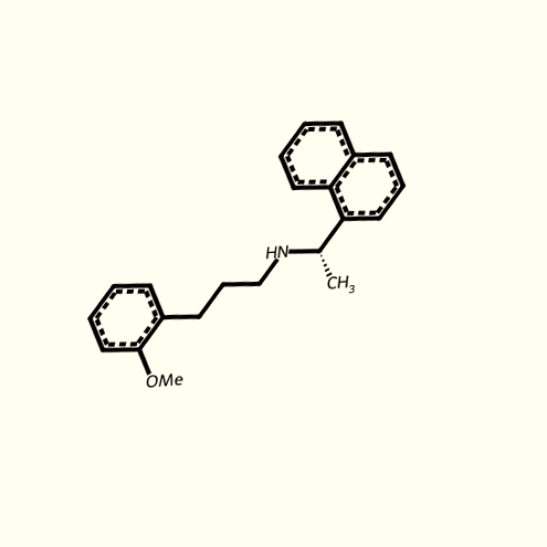 COc1ccccc1CCCN[C@@H](C)c1cccc2ccccc12